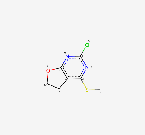 CSc1nc(Cl)nc2c1CCO2